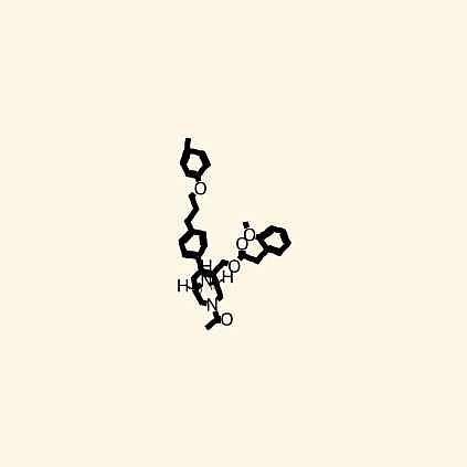 COc1ccccc1CC(=O)OCC1=C(c2ccc(CCCOc3ccc(C)cc3)cc2)C[C@@H]2CN(C(C)=O)C[C@H]1N2